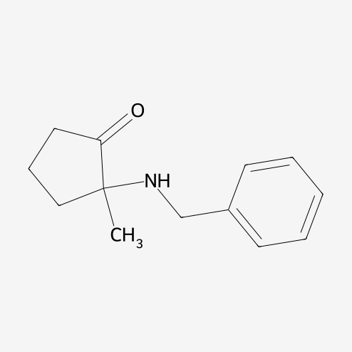 CC1(NCc2ccccc2)CCCC1=O